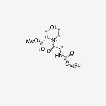 COC(=O)[C@@H]1COCCN1C(=O)CNC(=O)OC(C)(C)C